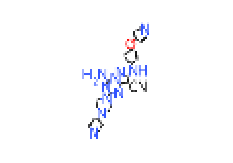 N#Cc1c(Nc2ccc(Oc3ccncc3)cc2)nn2c(N)nc(N3CCN(c4ccncc4)CC3)nc12